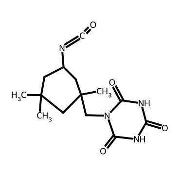 CC1(C)CC(N=C=O)CC(C)(Cn2c(=O)[nH]c(=O)[nH]c2=O)C1